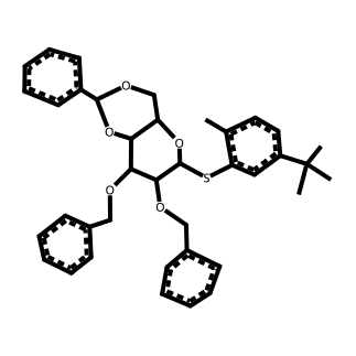 Cc1ccc(C(C)(C)C)cc1SC1OC2COC(c3ccccc3)OC2C(OCc2ccccc2)C1OCc1ccccc1